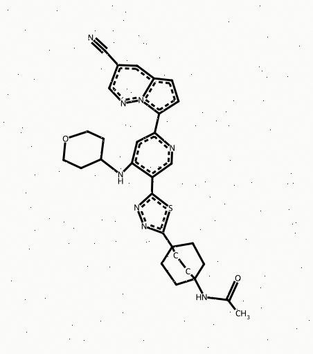 CC(=O)NC12CCC(c3nnc(-c4cnc(-c5ccc6cc(C#N)cnn56)cc4NC4CCOCC4)s3)(CC1)CC2